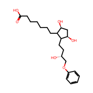 O=C(O)CCCCCCC1C(CC[C@@H](O)COc2ccccc2)[C@H](O)C[C@@H]1O